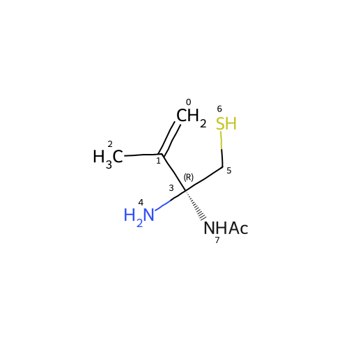 C=C(C)[C@](N)(CS)NC(C)=O